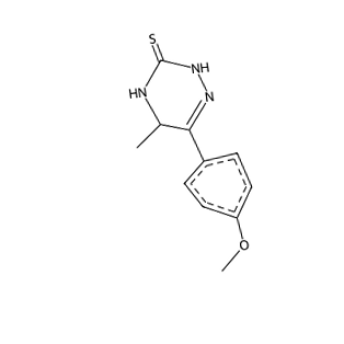 COc1ccc(C2=NNC(=S)NC2C)cc1